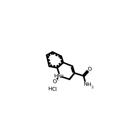 Cl.NC(=O)C1=Cc2ccccc2[NH+]([O-])C1